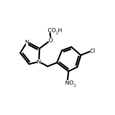 O=C(O)Oc1nccn1Cc1ccc(Cl)cc1[N+](=O)[O-]